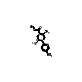 C[C@@H]1CN(C(=O)OC(C)(C)C)[C@@H](C)CN1c1ccc([N+](=O)[O-])cn1